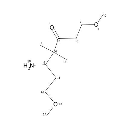 COCCC(=O)C(C)(C)C(N)CCOC